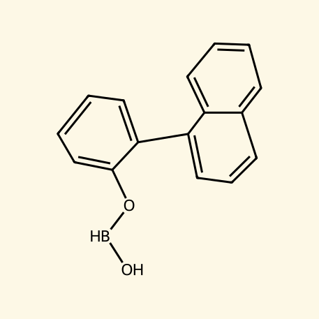 OBOc1ccccc1-c1cccc2ccccc12